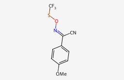 COc1ccc(/C(C#N)=N/OSC(F)(F)F)cc1